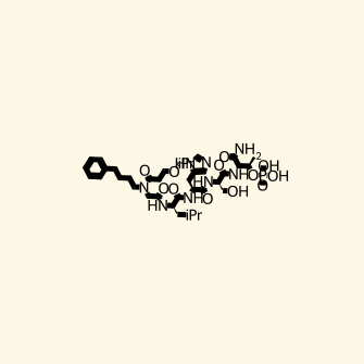 CC(C)C[C@H](NC(=O)CN(CCCCc1ccccc1)C(=O)CCOC(C)C)C(=O)N[C@@H](Cc1cnc[nH]1)C(=O)N[C@@H](CO)C(=O)N[C@H](C(N)=O)[C@@H](C)OP(=O)(O)O